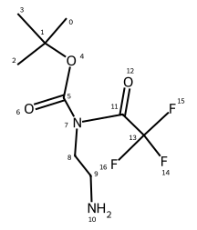 CC(C)(C)OC(=O)N(CCN)C(=O)C(F)(F)F